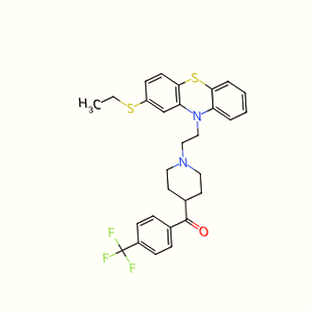 CCSc1ccc2c(c1)N(CCN1CCC(C(=O)c3ccc(C(F)(F)F)cc3)CC1)c1ccccc1S2